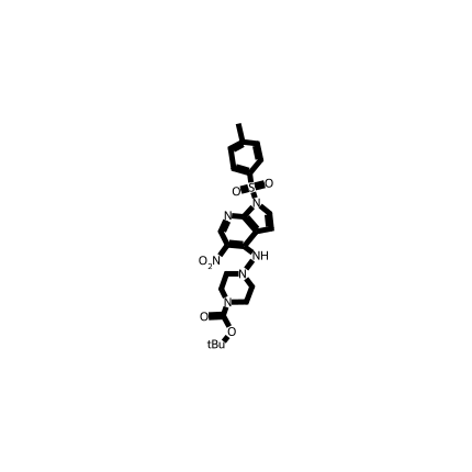 Cc1ccc(S(=O)(=O)n2ccc3c(NN4CCN(C(=O)OC(C)(C)C)CC4)c([N+](=O)[O-])cnc32)cc1